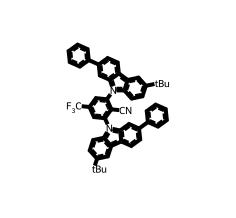 CC(C)(C)c1ccc2c(c1)c1ccc(-c3ccccc3)cc1n2-c1cc(C(F)(F)F)cc(-n2c3ccc(C(C)(C)C)cc3c3ccc(-c4ccccc4)cc32)c1C#N